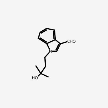 CC(C)(O)CCn1cc(C=O)c2ccccc21